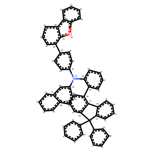 c1ccc(C2(c3ccccc3)c3ccccc3-c3c(-c4ccccc4N(c4ccc(-c5cccc6c5oc5ccccc56)cc4)c4ccc5ccccc5c4)cccc32)cc1